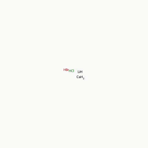 Br.Cl.[CaH2].[LiH]